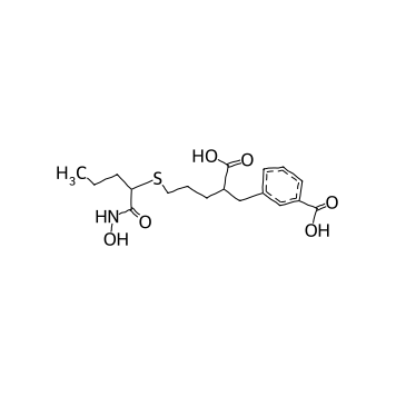 CCCC(SCCCC(Cc1cccc(C(=O)O)c1)C(=O)O)C(=O)NO